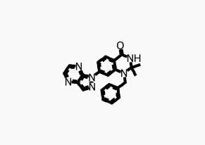 CC1(C)NC(=O)c2ccc(-n3ncc4nccnc43)cc2N1Cc1ccccc1